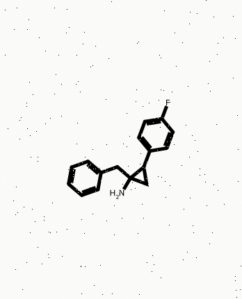 NC1(Cc2ccccc2)CC1c1ccc(F)cc1